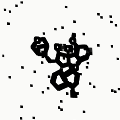 COc1cncc2c1[C@]1(O)[C@H](O)[C@H](CN3C4COCC3C4)[C@@H](c3ccccc3)[C@]1(c1ccc(Br)cc1)O2